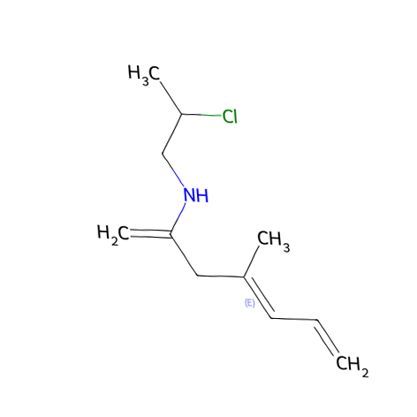 C=C/C=C(\C)CC(=C)NCC(C)Cl